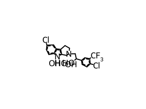 O=CO.OC(CN1CCc2c([nH]c3ccc(Cl)cc23)C1)c1ccc(Cl)c(C(F)(F)F)c1